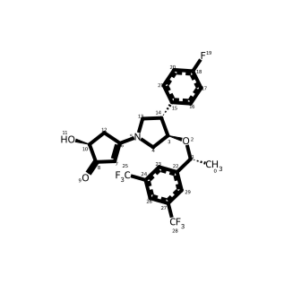 C[C@@H](O[C@H]1CN(C2=CC(=O)[C@@H](O)C2)C[C@@H]1c1ccc(F)cc1)c1cc(C(F)(F)F)cc(C(F)(F)F)c1